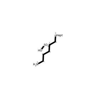 CCCCCCCCCCCCN.O=S(=O)(O)O